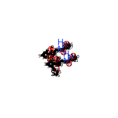 COC1=C(c2c(C)cc(C)cc2Br)C(=O)CC1CCNC(=O)C1=NOC(C)(C)C1.COC1=C(c2c(C)cc(C)cc2C#C[Si](C)(C)C)C(=O)CC1CCNC(=O)C1=NOC(C)(C)C1